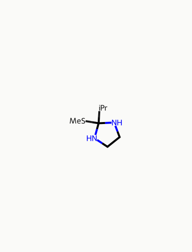 CSC1(C(C)C)NCCN1